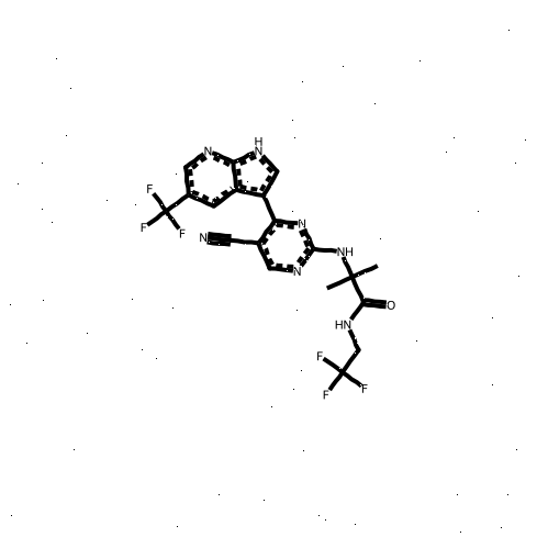 CC(C)(Nc1ncc(C#N)c(-c2c[nH]c3ncc(C(F)(F)F)cc23)n1)C(=O)NCC(F)(F)F